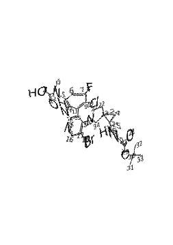 CN(C(=O)O)c1cc(F)c(Cl)c2c1[nH]c1ncc(Br)c(N3CCC4(CC4NC(=O)OC(C)(C)C)C3)c12